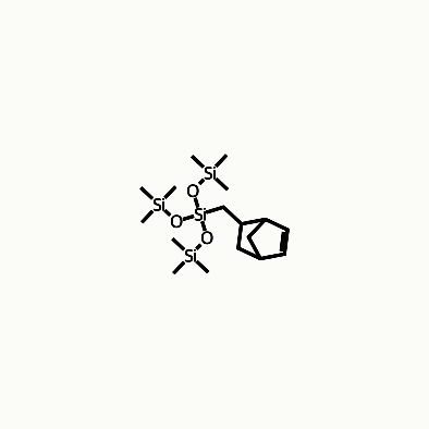 C[Si](C)(C)O[Si](CC1CC2C=CC1C2)(O[Si](C)(C)C)O[Si](C)(C)C